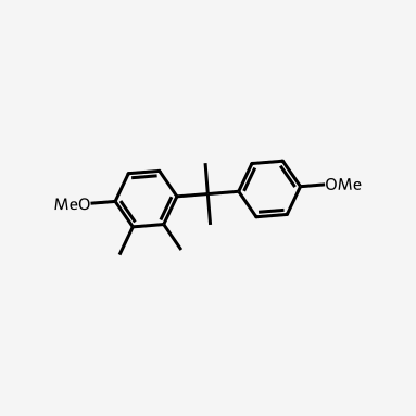 COc1ccc(C(C)(C)c2ccc(OC)c(C)c2C)cc1